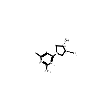 Cc1nc(I)cc(N2C[C@H](O)[C@@H](O)C2)n1